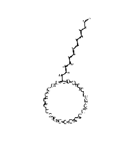 CCCCCCCCCCCCCCC1CCCCCCCCCCCCCCCCCCCCOO1